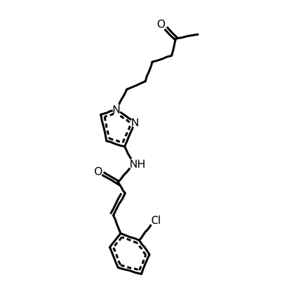 CC(=O)CCCCn1ccc(NC(=O)C=Cc2ccccc2Cl)n1